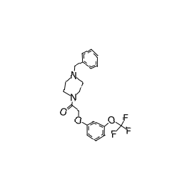 O=C(COc1cccc(OC(F)(F)F)c1)N1CCN(Cc2ccccc2)CC1